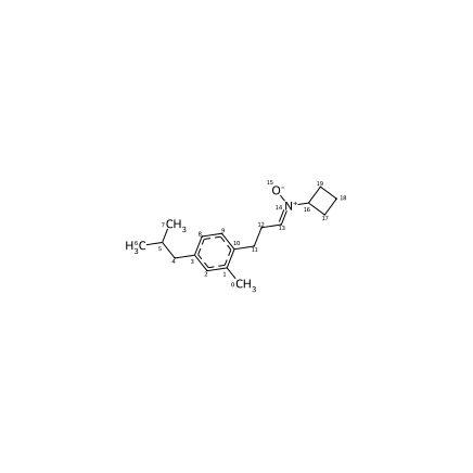 Cc1cc(CC(C)C)ccc1CCC=[N+]([O-])C1CCC1